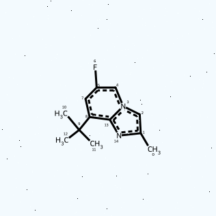 Cc1cn2cc(F)cc(C(C)(C)C)c2n1